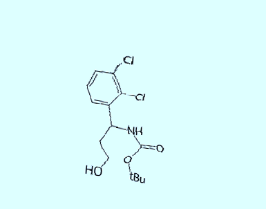 CC(C)(C)OC(=O)NC(CCO)c1cccc(Cl)c1Cl